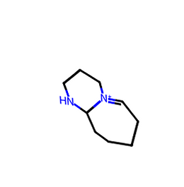 C1=[N+]2CCCNC2CCCC1